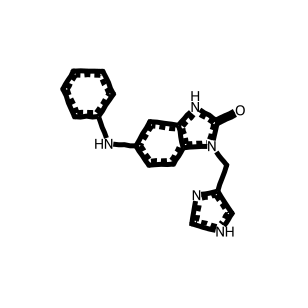 O=c1[nH]c2cc(Nc3ccccc3)ccc2n1Cc1c[nH]cn1